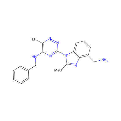 CCc1nnc(-n2c(OC)nc3c(CN)cccc32)nc1NCc1ccccc1